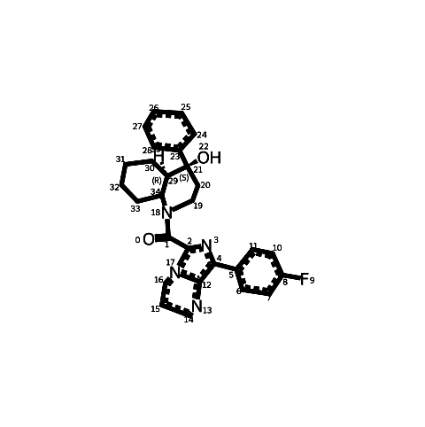 O=C(c1nc(-c2ccc(F)cc2)c2ncccn12)N1CC[C@@](O)(c2ccccc2)[C@@H]2CCCCC21